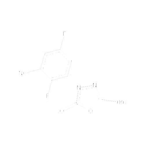 CC(C)(C)c1nn(-c2cc(F)cc(C#N)c2F)c(=O)o1